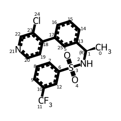 C[C@@H](NS(=O)(=O)c1cccc(C(F)(F)F)c1)c1cccc(-c2ccncc2Cl)c1